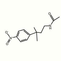 CC(=O)NCCC(C)(C)c1ccc([N+](=O)[O-])cc1